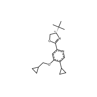 CC(C)(C)[C@H]1COC(c2cc(OCC3CC3)c(C3CC3)cn2)=N1